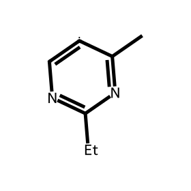 CCc1nc[c]c(C)n1